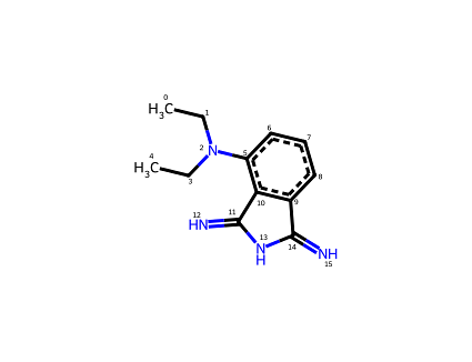 CCN(CC)c1cccc2c1C(=N)NC2=N